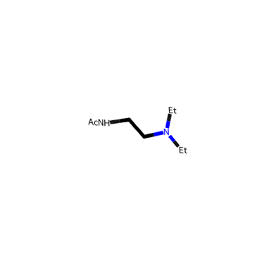 CCN(CC)CCNC(C)=O